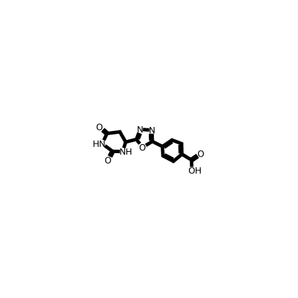 O=C1CC(c2nnc(-c3ccc(C(=O)O)cc3)o2)NC(=O)N1